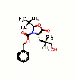 CC(C)(CO)C[C@H]1C(=O)O[C@H](C(C)(C)C)N1C(=O)OCc1ccccc1